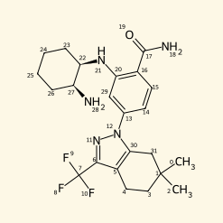 CC1(C)CCc2c(C(F)(F)F)nn(-c3ccc(C(N)=O)c(N[C@@H]4CCCC[C@@H]4N)c3)c2C1